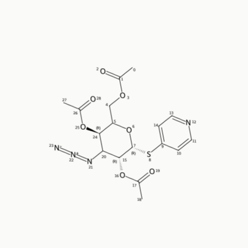 CC(=O)OCC1O[C@H](Sc2ccncc2)[C@H](OC(C)=O)C(N=[N+]=[N-])[C@H]1OC(C)=O